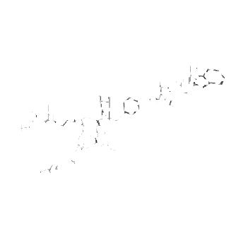 N[C@H](Cc1cc2ccccc2[nH]1)C(=O)NOCc1ccc(CNC(=O)CN(CCNCC(=O)O)CCN(CC(=O)O)CC(=O)O)cc1